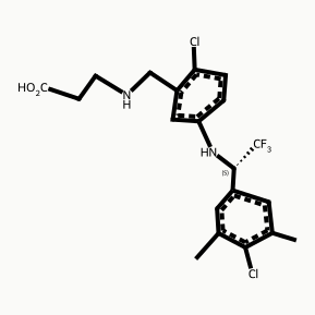 Cc1cc([C@H](Nc2ccc(Cl)c(CNCCC(=O)O)c2)C(F)(F)F)cc(C)c1Cl